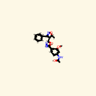 COc1cc(NC(C)=O)ccc1-c1nnc(-c2c(-c3ccccc3)noc2C)o1